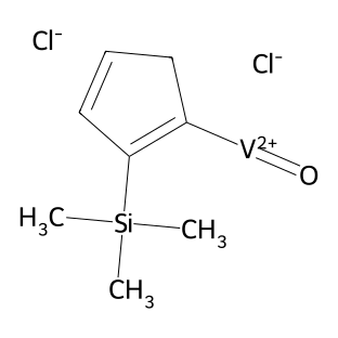 C[Si](C)(C)C1=[C]([V+2]=[O])CC=C1.[Cl-].[Cl-]